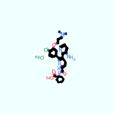 CN(C)CCCOc1cc(-c2nc(C(=O)NC3(C(=O)O)CCCCC3)ccc2-c2ncccc2N)ccc1Cl.Cl